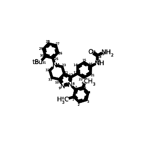 Cc1cccc(C)c1-n1nc2c(c1-c1ccc(NC(N)=O)cc1)CN(c1ccccc1C(C)(C)C)CC2